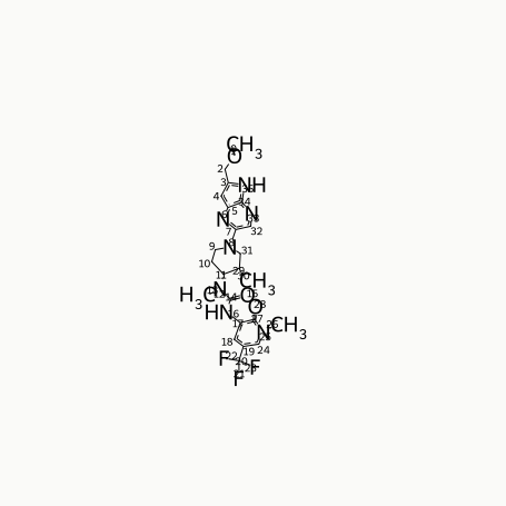 COCc1cc2nc(N3CC[C@@H](N(C)C(=O)Nc4cc(C(F)(F)F)cn(C)c4=O)[C@@H](C)C3)cnc2[nH]1